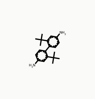 CC(C)(C)c1cc(N)ccc1-c1ccc(N)cc1C(C)(C)C